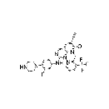 C#Cc1cc2cnc(Nc3ccc(N4CCNCC4)c(F)c3)nc2n(Cc2ncccc2C(F)(F)F)c1=O